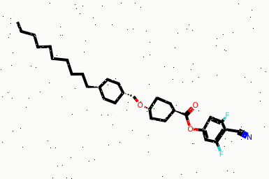 CCCCCCCCCC[C@H]1CC[C@H](CO[C@H]2CC[C@H](C(=O)Oc3cc(F)c(C#N)c(F)c3)CC2)CC1